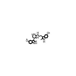 CC=[N+](NC(=N)NCCc1c(C)[nH]c2ccc(OC)cc12)c1c(C)[nH]c2ccc(OC)cc12